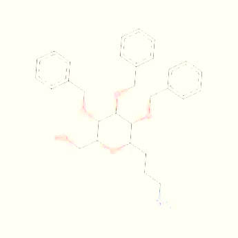 NCCCC1OC(CO)C(OCc2ccccc2)C(OCc2ccccc2)C1OCc1ccccc1